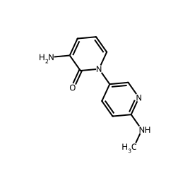 CNc1ccc(-n2cccc(N)c2=O)cn1